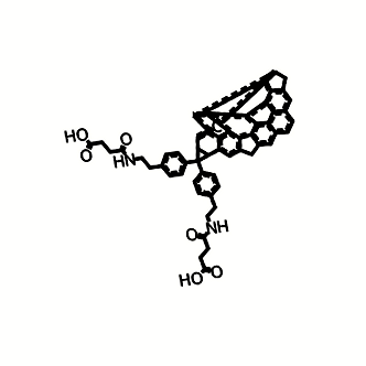 O=C(O)CCC(=O)NCCc1ccc(C2(c3ccc(CCNC(=O)CCC(=O)O)cc3)C3c4cc5c6c7c(cc8ccc9cc%10c%11c%12c(cc(c%13c4c6c(c%13%12)c4c7c8c9c%114)C32)C%10)C5)cc1